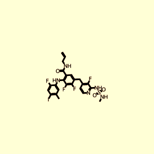 C=CCNC(=O)c1cc(Cc2ccnc(NS(=O)(=O)NC)c2F)c(F)c(F)c1Nc1cc(C)c(I)cc1F